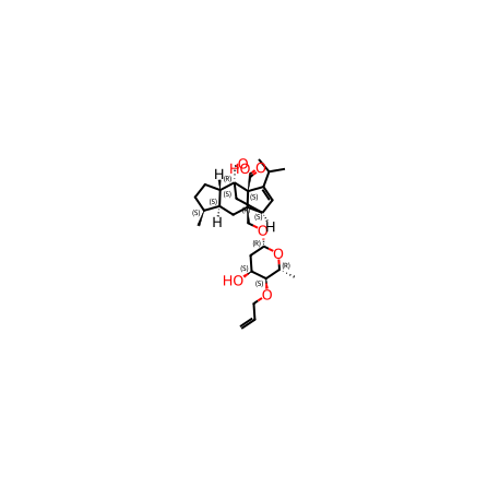 C=CCO[C@H]1[C@@H](O)C[C@H](OC[C@]23C[C@H]4[C@@H](C)CC[C@@H]4[C@]4(C=O)C[C@H]2C=C(C(C)C)[C@]34C(=O)O)O[C@@H]1C